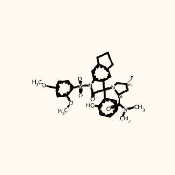 COc1ccc(S(=O)(=O)N2C(=O)C(c3ccccc3O)(N3C[C@H](F)C[C@H]3C(=O)N(C)C)c3cc4c(cc32)CCC4)c(OC)c1